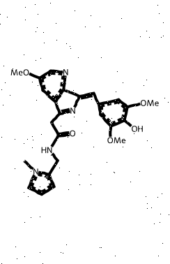 COc1cnc2c(c1)C(CC(=O)NCc1cccn1C)=NC2=Cc1cc(OC)c(O)c(OC)c1